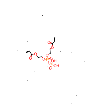 C=CC(=O)OCCOP(=O)(OCCOC(=O)C=C)OP(=O)(O)O